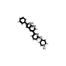 C1=CCC(c2cc3cc(C4=CCCC(OC5CCNCC5)=N4)cnc3[nH]2)C=C1